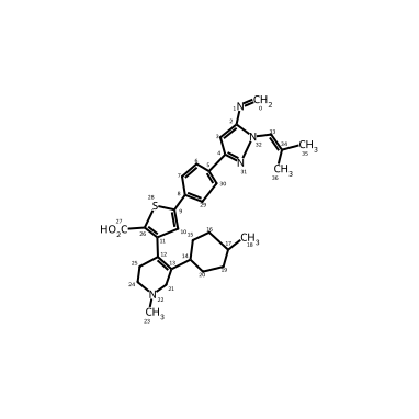 C=Nc1cc(-c2ccc(-c3cc(C4=C(C5CCC(C)CC5)CN(C)CC4)c(C(=O)O)s3)cc2)nn1C=C(C)C